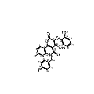 Cc1ccc2c3oc(=O)c(Sc4ccccc4O)c(O)c3c(=O)n(Cc3ccc(F)cc3)c2n1